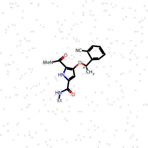 CCNC(=O)c1cc(O[C@H](C)c2ccccc2C#N)c(C(=O)NC)[nH]1